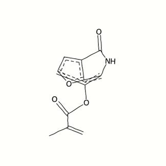 C=C(C)C(=O)Oc1c2c3oc1cc3C(=O)N2